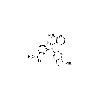 CC(C)c1ccc2nc(-c3cccnc3N)n(-c3ccc4c(c3)CC[C@@H]4N)c2n1